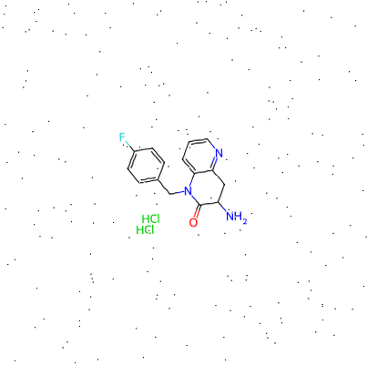 Cl.Cl.NC1Cc2ncccc2N(Cc2ccc(F)cc2)C1=O